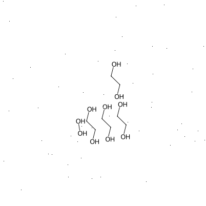 OCCO.OCCO.OCCO.OCCO.OO